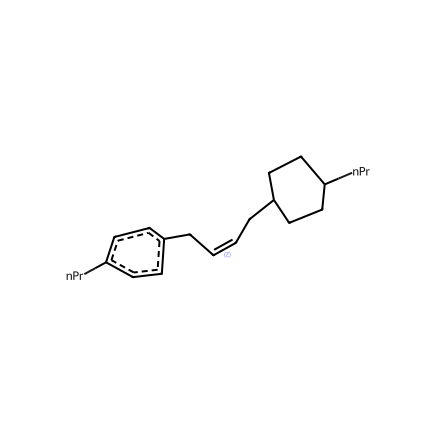 CCCc1ccc(C/C=C\CC2CCC(CCC)CC2)cc1